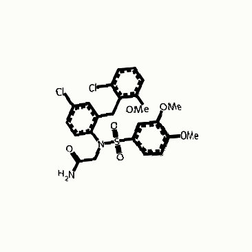 COc1ccc(S(=O)(=O)N(CC(N)=O)c2ccc(Cl)cc2Cc2c(Cl)cccc2OC)cc1OC